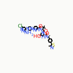 Cc1ncsc1-c1ccc([C@H](C)NC(=O)[C@@H]2C[C@@H](O)CN2C(=O)[C@@H](NC(=O)c2ccc(N3CCN(c4cc(Cl)nnc4N)CC3)nc2)C(C)(C)C)cc1